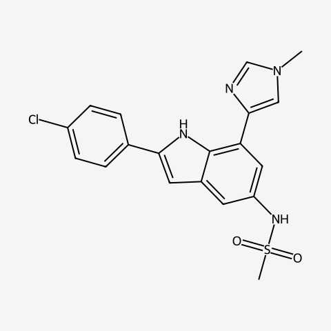 Cn1cnc(-c2cc(NS(C)(=O)=O)cc3cc(-c4ccc(Cl)cc4)[nH]c23)c1